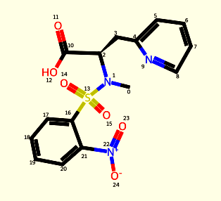 CN([C@H](Cc1ccccn1)C(=O)O)S(=O)(=O)c1ccccc1[N+](=O)[O-]